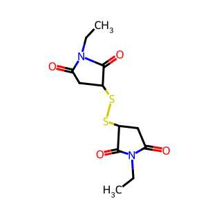 CCN1C(=O)CC(SSC2CC(=O)N(CC)C2=O)C1=O